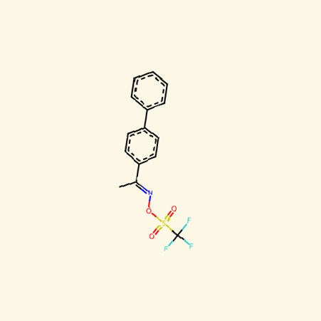 CC(=NOS(=O)(=O)C(F)(F)F)c1ccc(-c2ccccc2)cc1